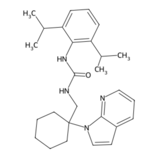 CC(C)c1cccc(C(C)C)c1NC(=O)NCC1(n2ccc3cccnc32)CCCCC1